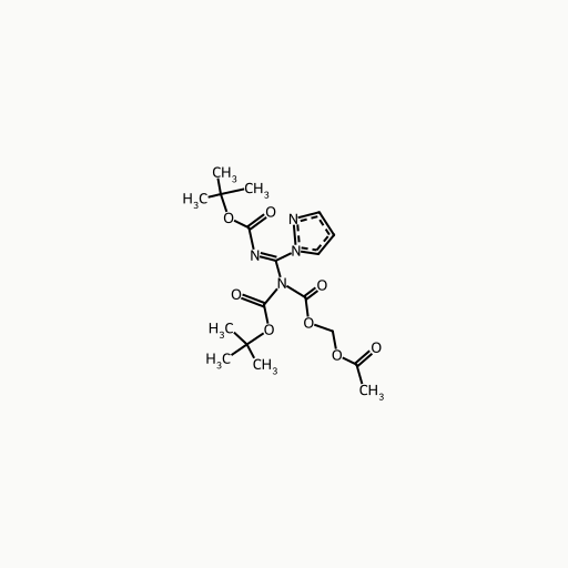 CC(=O)OCOC(=O)N(C(=O)OC(C)(C)C)/C(=N/C(=O)OC(C)(C)C)n1cccn1